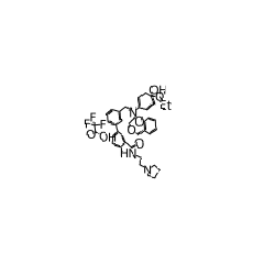 CCOC1(O)C=CC(N(Cc2cccc(-c3cccc(C(=O)NCCN4CCCC4)c3)c2)C(=O)COCc2ccccc2)=CC1.O=C(O)C(F)(F)F